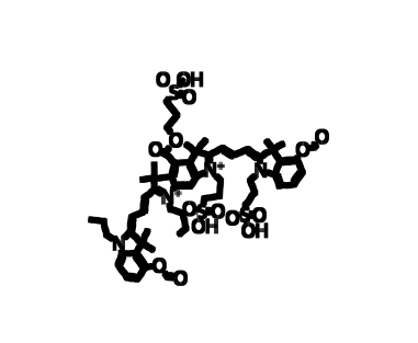 CCCC[N+]1=C(/C=C/C=C2/N(CCC)c3cccc(OC=O)c3C2(C)C)C(C)(C)c2c1cc1c(c2C(=O)OCCCS(=O)(=O)O)C(C)(C)C(/C=C/C=C2\N(CCCS(=O)(=O)O)c3cccc(OC=O)c3C2(C)C)=[N+]1CCCS(=O)(=O)O